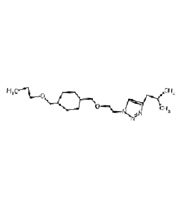 CCCOCC1CCC(COCCn2cc(CC(C)C)nn2)CC1